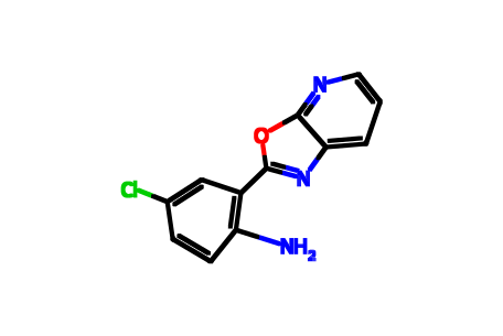 Nc1ccc(Cl)cc1-c1nc2cccnc2o1